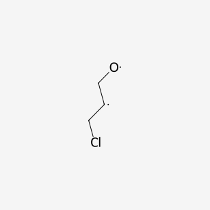 [O]C[CH]CCl